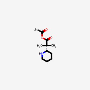 CC(C)(C)C(=O)OC(=O)C(C)(C)[C@@H]1CCCCN1